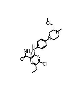 CCc1nc(C(N)=O)c(Nc2ccc(N3CCN(C)[C@@H](COC)C3)cc2)nc1Cl